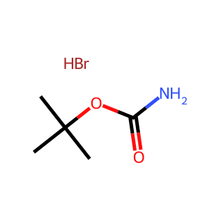 Br.CC(C)(C)OC(N)=O